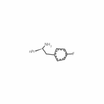 CCC[C@@H](N)Cc1ccc(F)cc1